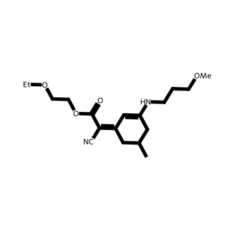 CCOCCOC(=O)/C(C#N)=C1\C=C(NCCCOC)CC(C)C1